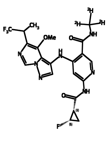 [2H]C([2H])([2H])NC(=O)c1cnc(NC(=O)[C@@H]2C[C@@H]2F)cc1Nc1cnn2cnc(C(C)C(F)(F)F)c(OC)c12